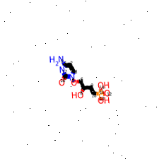 Nc1ccn(OCC(O)C=CP(=O)(O)O)c(=O)n1